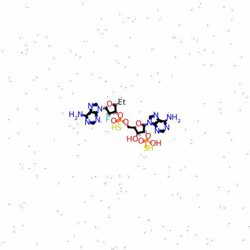 CC[C@H]1O[C@@H](n2cnc3c(N)ncnc32)[C@H](F)[C@@H]1OP(=O)(S)OCC1O[C@@H](n2cnc3c(N)ncnc32)[C@H](OP(=O)(O)S)[C@@H]1O